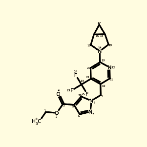 CCOC(=O)c1cnn(Cc2cnc(N3CC4CC4C3)cc2C(F)(F)F)c1